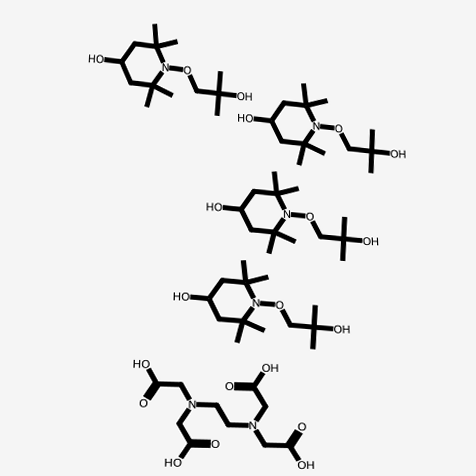 CC(C)(O)CON1C(C)(C)CC(O)CC1(C)C.CC(C)(O)CON1C(C)(C)CC(O)CC1(C)C.CC(C)(O)CON1C(C)(C)CC(O)CC1(C)C.CC(C)(O)CON1C(C)(C)CC(O)CC1(C)C.O=C(O)CN(CCN(CC(=O)O)CC(=O)O)CC(=O)O